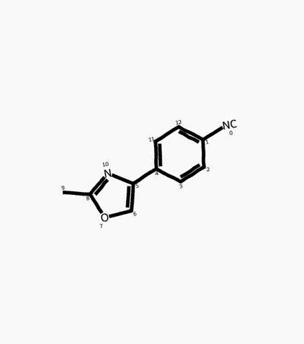 [C-]#[N+]c1ccc(-c2coc(C)n2)cc1